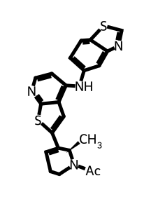 CC(=O)N1CCC=C(c2cc3c(Nc4ccc5scnc5c4)ccnc3s2)[C@H]1C